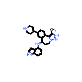 CC1=C2c3ccc(C4=CCNCC4)cc3C(Nc3cccc4[nH]ccc34)CCN2NN1